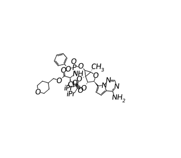 CC(C)C(=O)O[C@H]1[C@H](c2ccc3c(N)ncnn23)O[C@]2(C)C(O[P@](=O)(N[C@@H](C)C(=O)OCC3CCOCC3)Oc3ccccc3)[C@]12OC(=O)C(C)C